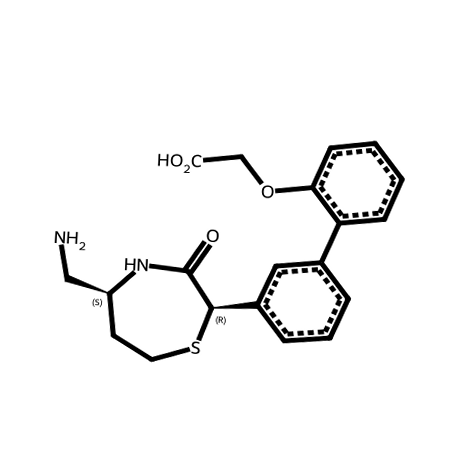 NC[C@@H]1CCS[C@H](c2cccc(-c3ccccc3OCC(=O)O)c2)C(=O)N1